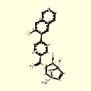 C=C(c1cnc(-c2cc3ccncc3cc2O)cn1)[C@H]1C[C@]2(C)C=C[C@@H](N2)[C@@H]1F